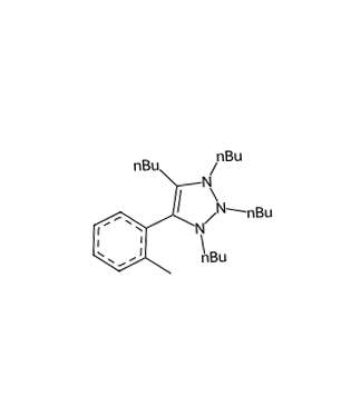 CCCCC1=C(c2ccccc2C)N(CCCC)N(CCCC)N1CCCC